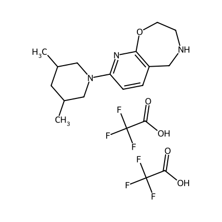 CC1CC(C)CN(c2ccc3c(n2)OCCNC3)C1.O=C(O)C(F)(F)F.O=C(O)C(F)(F)F